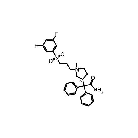 C[N+]1(CCCS(=O)(=O)c2cc(F)cc(F)c2)CC[C@@H](C(C(N)=O)(c2ccccc2)c2ccccc2)C1